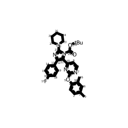 Cc1ccc(Oc2nccc(-c3c(-c4ccc(F)cc4)nc(N4CCCCC4)n3C(=O)OC(C)(C)C)n2)c(C)c1